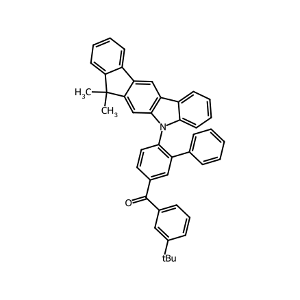 CC(C)(C)c1cccc(C(=O)c2ccc(-n3c4ccccc4c4cc5c(cc43)C(C)(C)c3ccccc3-5)c(-c3ccccc3)c2)c1